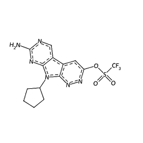 Nc1ncc2c3cc(OS(=O)(=O)C(F)(F)F)nnc3n(C3CCCC3)c2n1